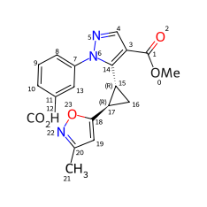 COC(=O)c1cnn(-c2cccc(C(=O)O)c2)c1[C@@H]1C[C@H]1c1cc(C)no1